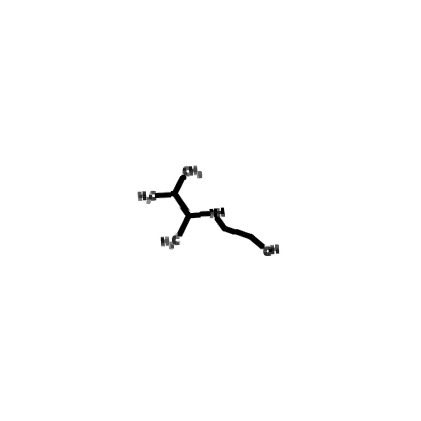 CC(C)C(C)NCCO